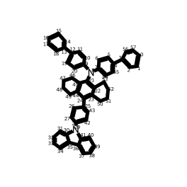 c1ccc(-c2ccc(N(c3ccc(-c4ccccc4)cc3)c3c4c(c(-c5ccc(-n6c7ccccc7c7ccccc76)cc5)c5c3CCCC5)CCCC4)cc2)cc1